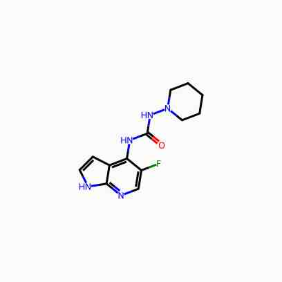 O=C(Nc1c(F)cnc2[nH]ccc12)NN1CCCCC1